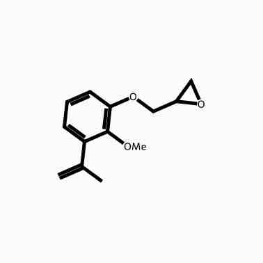 C=C(C)c1cccc(OCC2CO2)c1OC